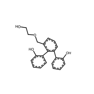 OCCOCc1cccc(-c2ccccc2O)c1-c1ccccc1O